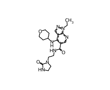 CCn1ncc2c(NC3CCOCC3)c(C(=O)NCCN3CCNC3=O)cnc21